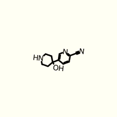 N#Cc1ccc(C2(O)CCNCC2)cn1